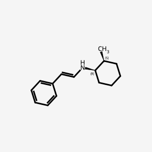 C[C@H]1CCCC[C@H]1NC=Cc1ccccc1